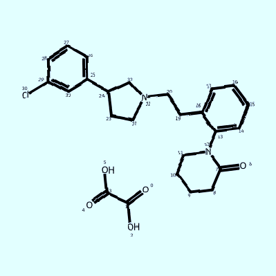 O=C(O)C(=O)O.O=C1CCCCN1c1ccccc1CCN1CCC(c2cccc(Cl)c2)C1